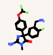 CN1C(=O)C(c2ccc(OC(F)F)cc2)(c2ccc(F)c(CN)c2)N=C1N